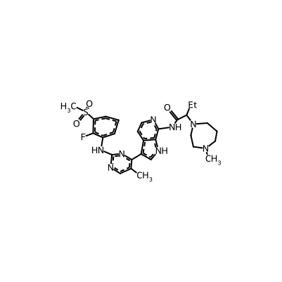 CCC(C(=O)Nc1nccc2c(-c3nc(Nc4cccc(S(C)(=O)=O)c4F)ncc3C)c[nH]c12)N1CCCN(C)CC1